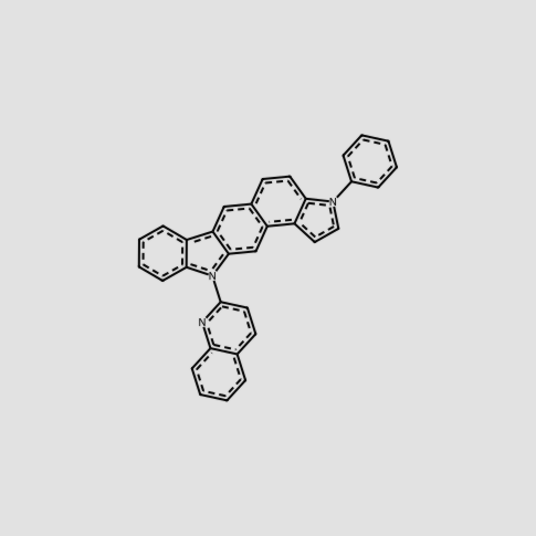 c1ccc(-n2ccc3c4cc5c(cc4ccc32)c2ccccc2n5-c2ccc3ccccc3n2)cc1